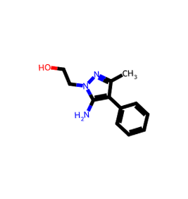 Cc1nn(CCO)c(N)c1-c1ccccc1